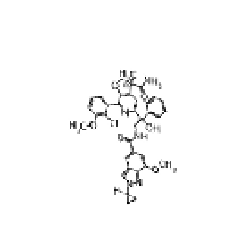 COc1cccc(-c2nc([C@@](O)(CNC(=O)c3cc(OC)c4nn(C5(F)CC5)cc4c3)c3ccccc3)cc3c2OC[C@]3(C)C(N)=O)c1Cl